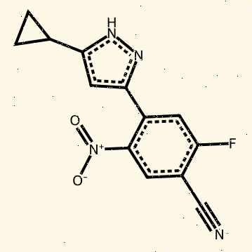 N#Cc1cc([N+](=O)[O-])c(-c2cc(C3CC3)[nH]n2)cc1F